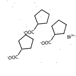 O=C([O-])C1CCCC1.O=C([O-])C1CCCC1.O=C([O-])C1CCCC1.[Bi+3]